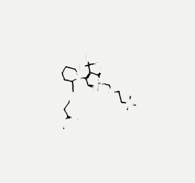 COC(=O)CCOCC1CCCCN1c1cnn(COCC[Si](C)(C)C)c(=O)c1C(F)(F)F